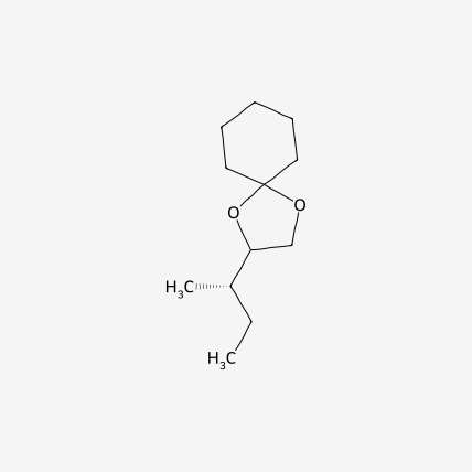 CC[C@H](C)C1COC2(CCCCC2)O1